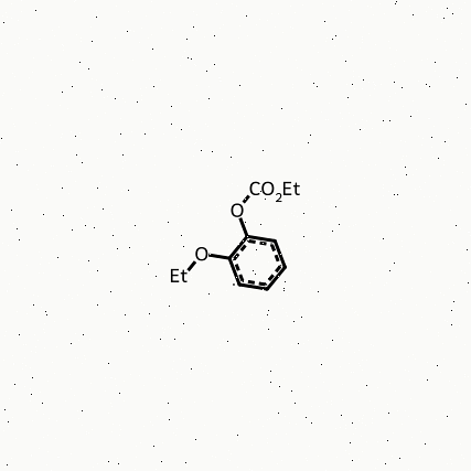 CCOC(=O)Oc1ccc[c]c1OCC